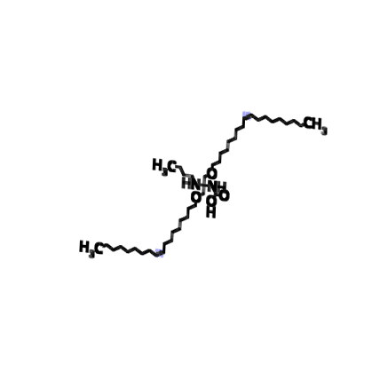 CCCCCCCC/C=C\CCCCCCCCOCC(COCCCCCCCC/C=C\CCCCCCCC)(NCCCC)NC(=O)O